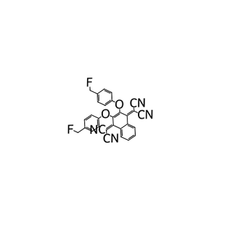 N#CC(C#N)=c1c(Oc2ccc(CF)cc2)c(Oc2ccc(CF)cc2)c(=C(C#N)C#N)c2ccccc12